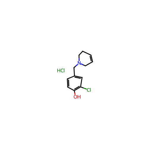 Cl.Oc1ccc(CN2CC=CCC2)cc1Cl